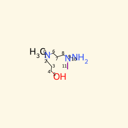 CN(CCCO)CCCN(N)I